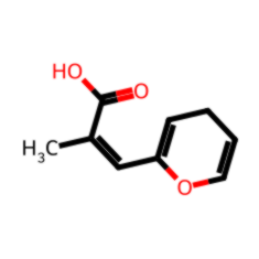 CC(=CC1=CCC=CO1)C(=O)O